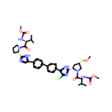 COS[C@H]1C[C@@H](c2nc(Cl)c(-c3ccc(-c4ccc(-c5cnc([C@@H]6CCCN6C(=O)[C@@H](NC(=O)OC)C(C)C)[nH]5)cc4)cc3)[nH]2)N(C(=O)[C@@H](NC(=O)OC)C(C)C)C1